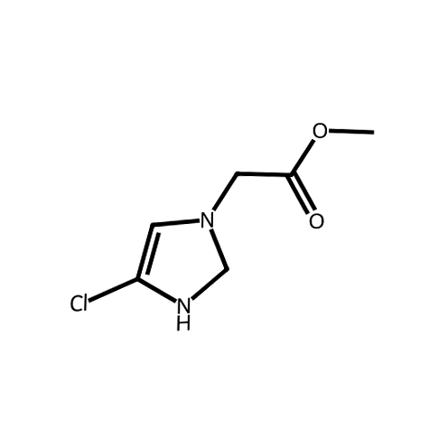 COC(=O)CN1C=C(Cl)NC1